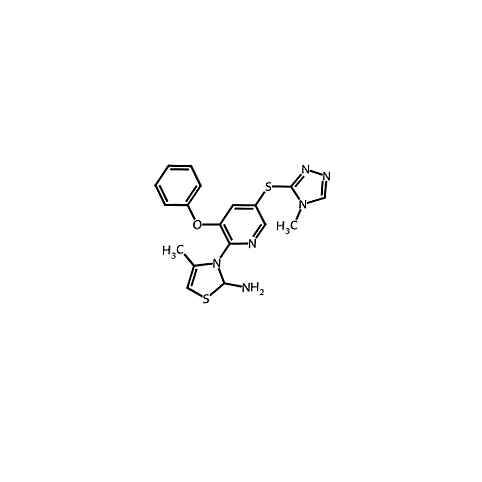 CC1=CSC(N)N1c1ncc(Sc2nncn2C)cc1Oc1ccccc1